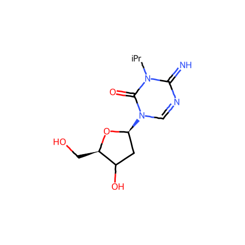 CC(C)n1c(=N)ncn([C@H]2CC(O)[C@@H](CO)O2)c1=O